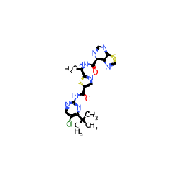 CC(NC(=O)c1ncnc2scnc12)c1ncc(C(=O)Nc2ncc(Cl)c(C(C)(C)C)n2)s1